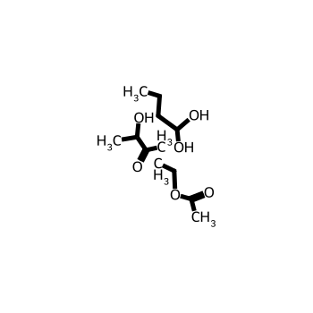 CC(=O)C(C)O.CCCC(O)O.CCOC(C)=O